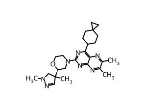 Cc1nc2nc(N3CCO[C@H](C4(C)C=NN(C)C4)C3)nc(C3CCC4(CC3)CC4)c2nc1C